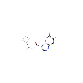 Cc1cc2ncc(C(=O)NC(C)C3CCC3)n2nc1Cl